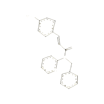 COc1ccc(/C=C/C(=O)N(Cc2ccccc2)c2ccccn2)cc1